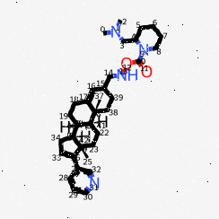 CN(C)CC1CCCCN1C(=O)ONCC1C=C2CC[C@@H]3[C@H](CC[C@]4(C)C(c5cccnc5)=CC[C@@H]34)[C@@]2(C)CC1